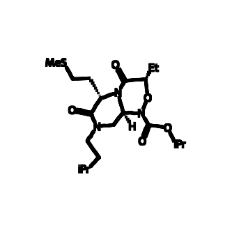 CC[C@@H]1ON(C(=O)OC(C)C)[C@H]2CN(CCC(C)C)C(=O)[C@H](CCSC)N2C1=O